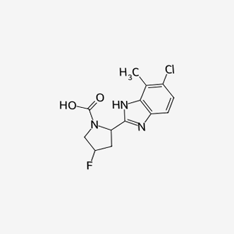 Cc1c(Cl)ccc2nc(C3CC(F)CN3C(=O)O)[nH]c12